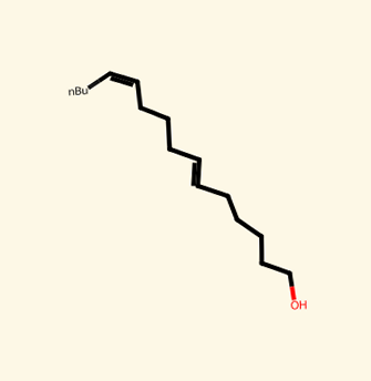 CCCC/C=C\CCC/C=C/CCCCCO